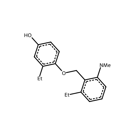 CCc1cc(O)ccc1OCc1c(CC)cccc1NC